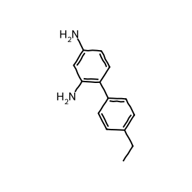 CCc1ccc(-c2ccc(N)cc2N)cc1